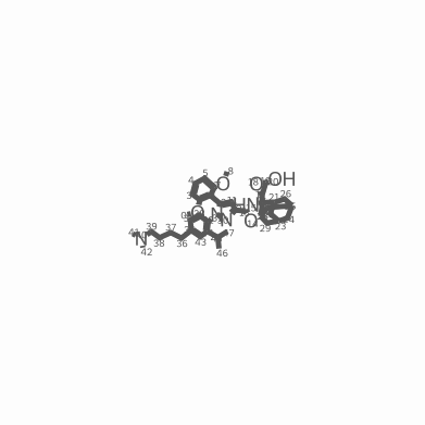 COc1cccc(OC)c1-c1cc(C(=O)NC2(C3OC3O)C3CC4CC(C3)CC2C4)nn1-c1ccc(CCCCN(C)C)cc1C(C)C